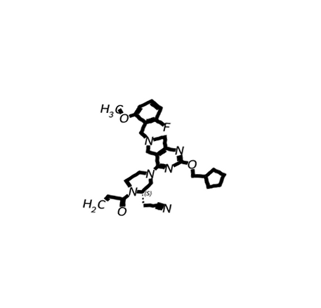 C=CC(=O)N1CCN(c2nc(OCC3CCCC3)nc3c2CN(Cc2c(F)cccc2OC)C3)C[C@@H]1CC#N